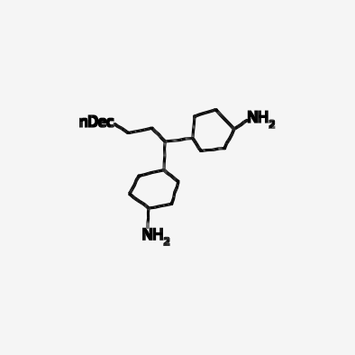 CCCCCCCCCCCCC(C1CCC(N)CC1)C1CCC(N)CC1